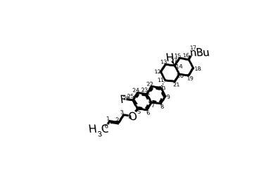 C/C=C/COc1cc2ccc([C@@H]3CC[C@@H]4CC(CCCC)CCC4C3)cc2cc1F